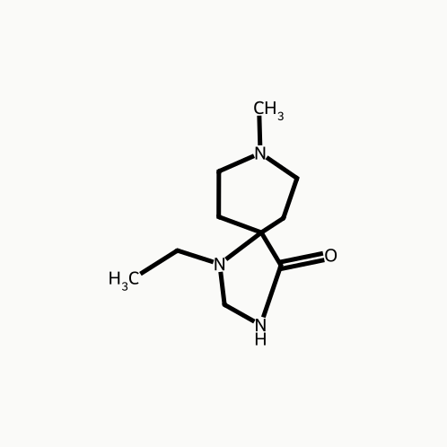 CCN1CNC(=O)C12CCN(C)CC2